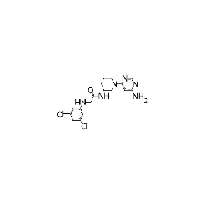 Nc1cc(N2CCC[C@@H](NC(=O)CNc3cc(Cl)cc(Cl)c3)C2)ncn1